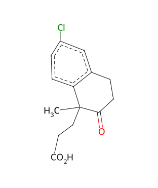 CC1(CCC(=O)O)C(=O)CCc2cc(Cl)ccc21